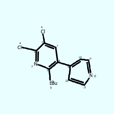 CC(C)(C)c1nc(Cl)c(Cl)cc1-c1ccncc1